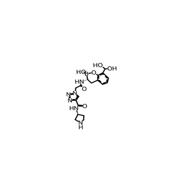 O=C(Cn1cc(C(=O)N[C@H]2CCNC2)nn1)N[C@H]1Cc2cccc(C(O)O)c2OB1O